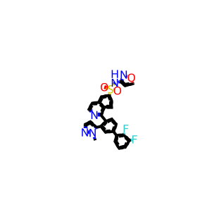 Cn1nccc1-c1cc(-c2cccc(F)c2F)ccc1-c1nccc2cc(S(=O)(=O)Nc3ccon3)ccc12